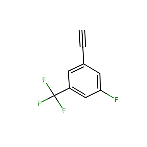 [C]#Cc1cc(F)cc(C(F)(F)F)c1